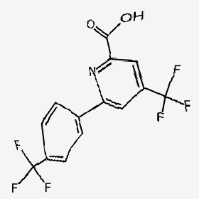 O=C(O)c1cc(C(F)(F)F)cc(-c2ccc(C(F)(F)F)cc2)n1